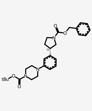 CC(C)(C)OC(=O)N1CCN(c2cccc([C@@H]3CCN(C(=O)OCc4ccccc4)C3)c2)CC1